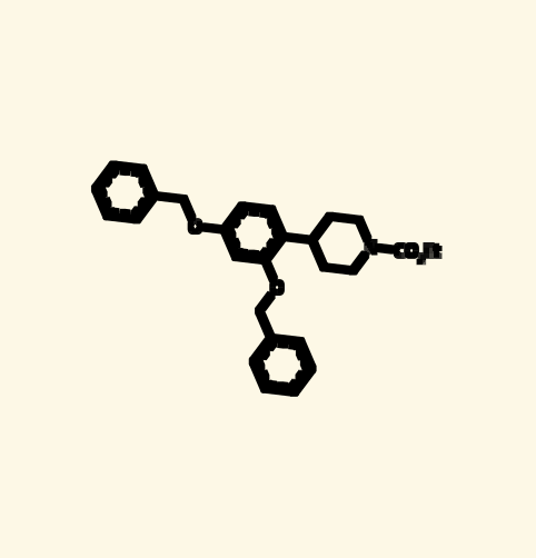 CCOC(=O)N1CCC(c2ccc(OCc3ccccc3)cc2OCc2ccccc2)CC1